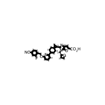 N#Cc1ccc(COc2cccc(C3=CCC4(CC3)CC4c3nc4cc(C(=O)O)oc4n3C[C@@H]3CCO3)n2)c(F)c1